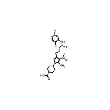 Cc1c([N+](=O)[O-])c(OCCC(C)Nc2nc(Cl)ncc2Cl)nn1C1CCN(C(=O)O)CC1